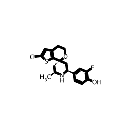 C[C@H]1C[C@@]2(C[C@@H](c3ccc(O)c(F)c3)N1)OCCc1cc(Cl)sc12